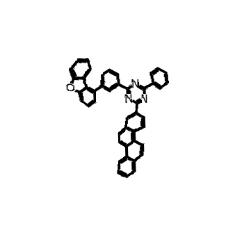 c1ccc(-c2nc(-c3cccc(-c4cccc5oc6ccccc6c45)c3)nc(-c3ccc4c(ccc5c6ccccc6ccc45)c3)n2)cc1